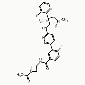 CC(=O)N1CC(NC(=O)c2ccc(F)c(-c3ccc(NC[C@](C)(C[C@H](C)F)c4ncccc4F)nn3)c2)C1